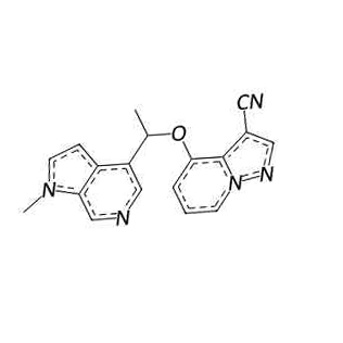 CC(Oc1cccn2ncc(C#N)c12)c1cncc2c1ccn2C